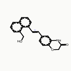 O=C1COc2ccc(/C=C/c3cccc4cccc(CO)c34)cc2N1